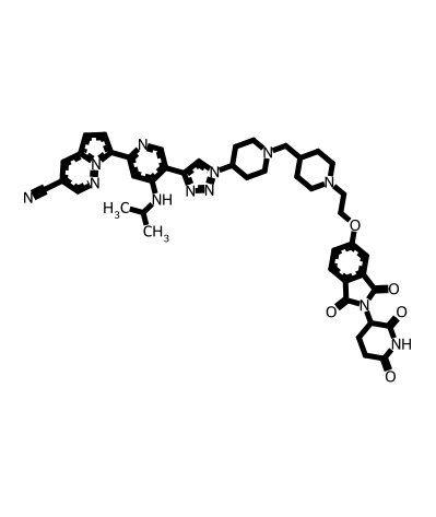 CC(C)Nc1cc(-c2ccc3cc(C#N)cnn23)ncc1-c1cn(C2CCN(CC3CCN(CCOc4ccc5c(c4)C(=O)N(C4CCC(=O)NC4=O)C5=O)CC3)CC2)nn1